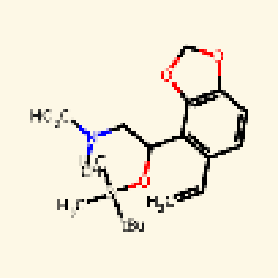 C=Cc1ccc2c(c1C(CN(C)C(=O)O)O[Si](C)(C)C(C)(C)C)OCO2